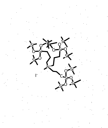 C[N+](CCC[Si](O[Si](C)(C)C)(O[Si](C)(C)C)O[Si](C)(C)C)(CCC[Si](O[Si](C)(C)C)(O[Si](C)(C)C)O[Si](C)(C)C)CCC[Si](O[Si](C)(C)C)(O[Si](C)(C)C)O[Si](C)(C)C.[I-]